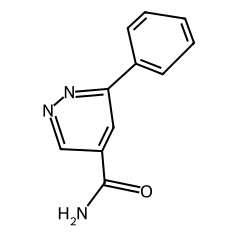 NC(=O)c1cnnc(-c2ccccc2)c1